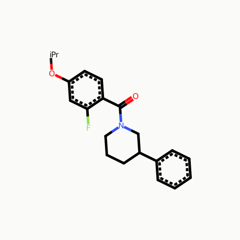 CC(C)Oc1ccc(C(=O)N2CCCC(c3ccccc3)C2)c(F)c1